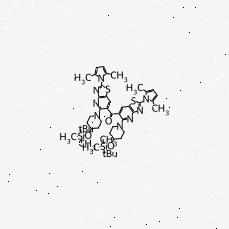 Cc1ccc(C)n1-c1nc2nc(N3CCC(O[Si](C)(C)C(C)(C)C)CC3)c(C(=O)c3cc4sc(-n5c(C)ccc5C)nc4nc3N3CCC(O[Si](C)(C)C(C)(C)C)CC3)cc2s1